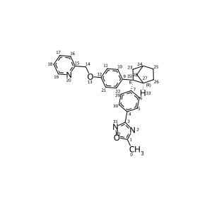 Cc1nc(-c2ccc([C@]3(c4ccc(OCc5ccccn5)cc4)CC4CC[C@@H]3C4)cc2)no1